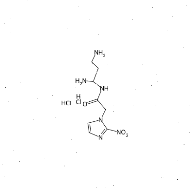 Cl.Cl.NCCC(N)NC(=O)Cn1ccnc1[N+](=O)[O-]